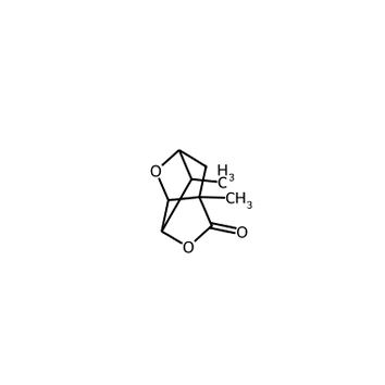 CC1C2CC3(C)C(=O)OC1C3O2